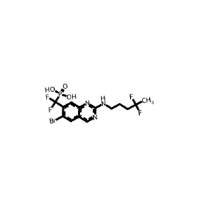 CC(F)(F)CCCNc1ncc2cc(Br)c(C(F)(F)P(=O)(O)O)cc2n1